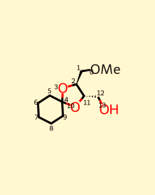 COC[C@@H]1OC2(CCCCC2)O[C@H]1CO